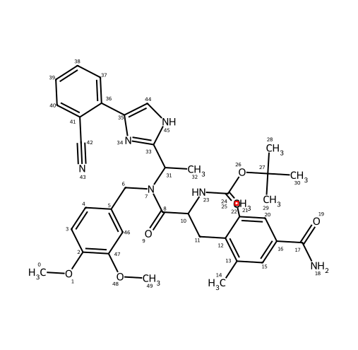 COc1ccc(CN(C(=O)C(Cc2c(C)cc(C(N)=O)cc2C)NC(=O)OC(C)(C)C)C(C)c2nc(-c3ccccc3C#N)c[nH]2)cc1OC